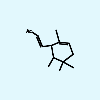 CC(=O)C=CC1C(C)=CCC(C)(C)C1C